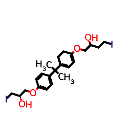 CC(C)(C1=CC=C(OCC(O)CCI)CC1)c1ccc(OC[C@@H](O)CI)cc1